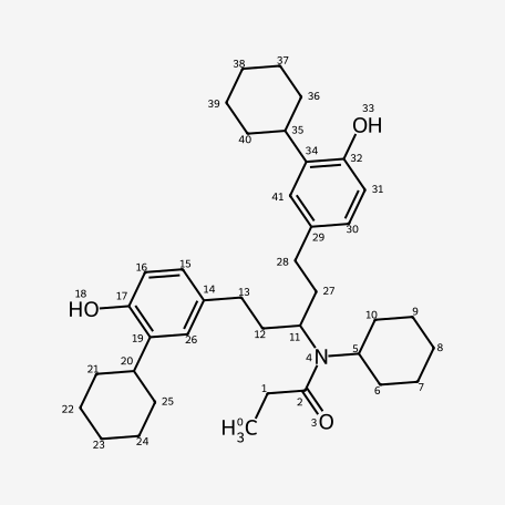 CCC(=O)N(C1CCCCC1)C(CCc1ccc(O)c(C2CCCCC2)c1)CCc1ccc(O)c(C2CCCCC2)c1